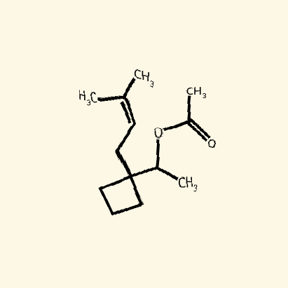 CC(=O)OC(C)C1(CC=C(C)C)CCC1